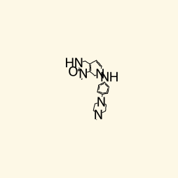 CN1CCN(c2ccc(NN3C=CC4=C(C3)N(C)C(=O)NC4)cc2)CC1